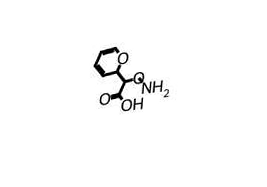 NOC(C(=O)O)C1C=CC=CO1